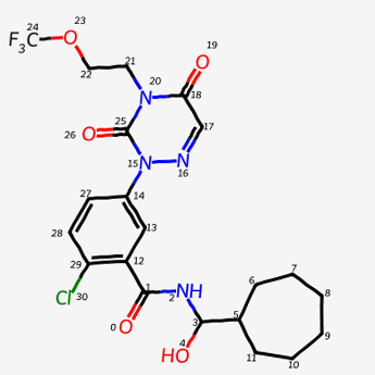 O=C(NC(O)C1CCCCCC1)c1cc(-n2ncc(=O)n(CCOC(F)(F)F)c2=O)ccc1Cl